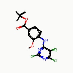 COc1cc(C(=O)OC(C)(C)C)ccc1Nc1nc(Cl)nc(Cl)c1Cl